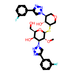 CO[C@@H]1[C@@H](n2cc(-c3cccc(F)c3)nn2)[C@@H](O)[C@@H](CO)O[C@H]1S[C@@H]1COC[C@H](n2cc(-c3cccc(F)c3)nn2)[C@H]1O